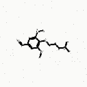 COc1cc(C=O)cc(OC)c1SCCCC(C)C